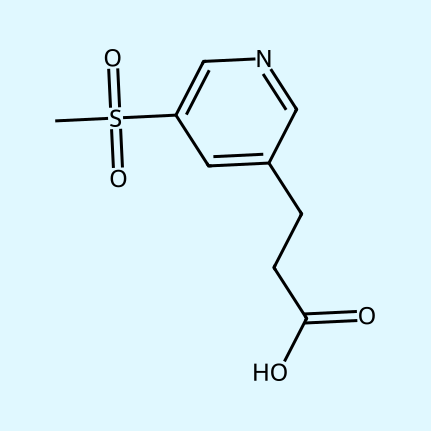 CS(=O)(=O)c1cncc(CCC(=O)O)c1